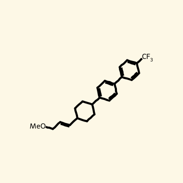 COCC=CC1CCC(c2ccc(-c3ccc(C(F)(F)F)cc3)cc2)CC1